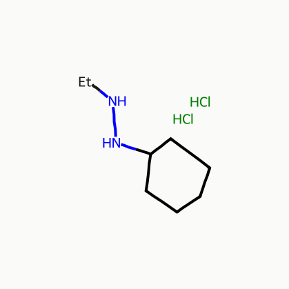 CCNNC1CCCCC1.Cl.Cl